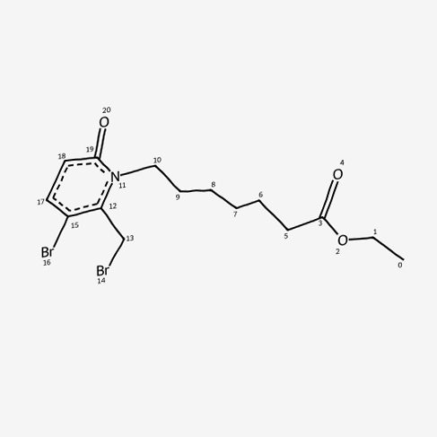 CCOC(=O)CCCCCCn1c(CBr)c(Br)ccc1=O